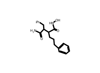 CC(C)CC(C(N)=O)C(CCCc1ccccc1)C(=O)NO